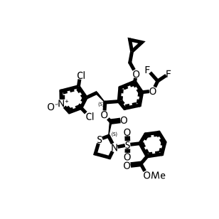 COC(=O)c1ccccc1S(=O)(=O)N1CCS[C@H]1C(=O)O[C@@H](Cc1c(Cl)c[n+]([O-])cc1Cl)c1ccc(OC(F)F)c(OCC2CC2)c1